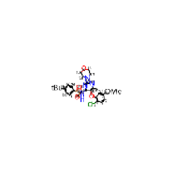 COc1ccc(Cl)c(Oc2c(C)nc(N3CCOCC3)nc2NS(=O)(=O)c2ccc(C(C)(C)C)cc2)c1